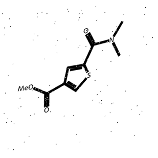 COC(=O)c1csc(C(=O)N(C)C)c1